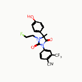 CC1(c2ccc(O)cc2)C(=O)N(c2ccc(C#N)c(C(F)(F)F)c2)C(=O)N1CCF